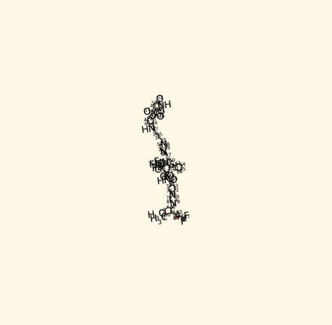 CC1(C)CCC(CN2CCN(c3ccc(C(=O)NS(=O)(=O)c4ccc(N[C@H](CCN5CCN(CCCCCNc6ccc7c(c6)C(=O)N(C6CCC(=O)NC6=O)C7=O)CC5)CSc5ccccc5)c(S(=O)(=O)C(F)(F)F)c4)cc3)CC2)=C(C23CC(C(F)F)(C2)C3)C1